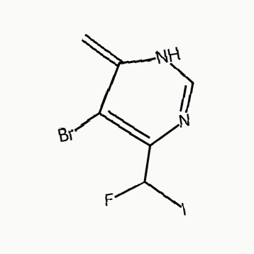 C=C1NC=NC(C(F)I)=C1Br